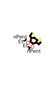 CCCCCC(CC)Oc1c(OC(CC)CCCCC)c2ccsc2c2sccc12